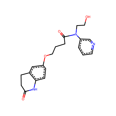 O=C1CCc2cc(OCCCC(=O)N(CCO)c3cccnc3)ccc2N1